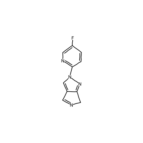 Fc1ccc(-n2cc3c(n2)CN=C3)nc1